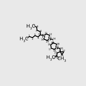 CCCCCC(CCCC)N1CCN(C[C@H]2CCCN(CC3(CC(C)C)CC3)C2)CC1